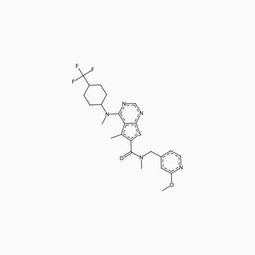 COc1cc(CN(C)C(=O)c2sc3ncnc(N(C)C4CCC(C(F)(F)F)CC4)c3c2C)ccn1